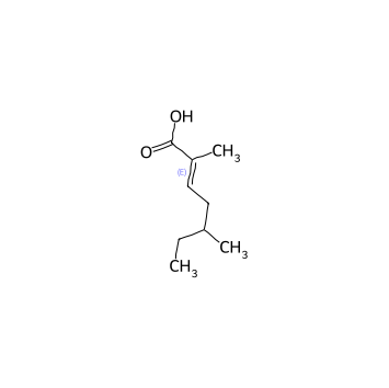 CCC(C)C/C=C(\C)C(=O)O